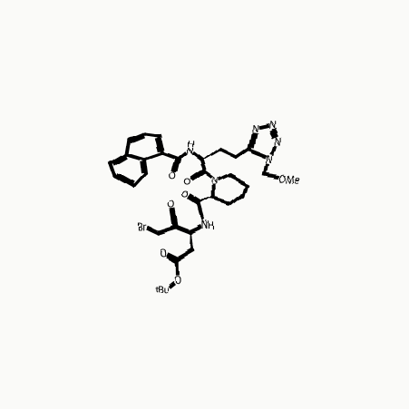 COCn1nnnc1CC[C@H](NC(=O)c1cccc2ccccc12)C(=O)N1CCCC[C@H]1C(=O)N[C@@H](CC(=O)OC(C)(C)C)C(=O)CBr